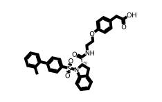 Cc1ccccc1-c1ccc(S(=O)(=O)N2c3ccccc3C[C@H]2C(=O)NCCOc2ccc(CC(=O)O)cc2)cc1